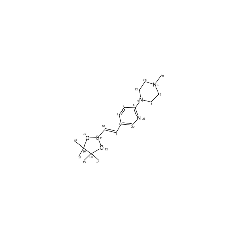 CN1CCN(c2ccc(/C=C/B3OC(C)(C)C(C)(C)O3)cn2)CC1